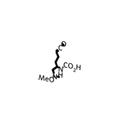 CON(C)CC(CCC=C=O)NC(=O)O